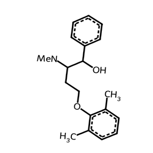 CNC(CCOc1c(C)cccc1C)C(O)c1ccccc1